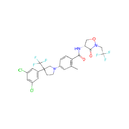 Cc1cc(N2CCC(c3cc(Cl)cc(Cl)c3)(C(F)(F)F)C2)ccc1C(=O)N[C@@H]1CON(CC(F)(F)F)C1=O